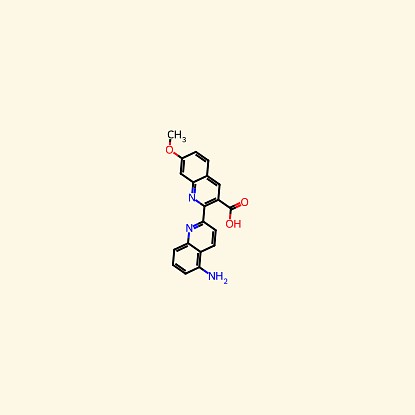 COc1ccc2cc(C(=O)O)c(-c3ccc4c(N)cccc4n3)nc2c1